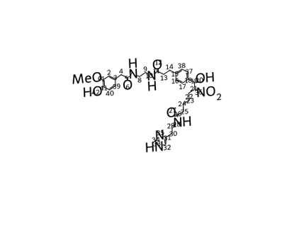 COc1cc(CC(=O)NCCNC(=O)CCc2ccc(C(O)C(CCCCC(=O)NCCc3c[nH]cn3)[N+](=O)[O-])cc2)ccc1O